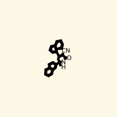 CC1(c2ccc3ccccc3c2)CC(c2cccc3ccccc23)=C(C#N)C(=O)N1